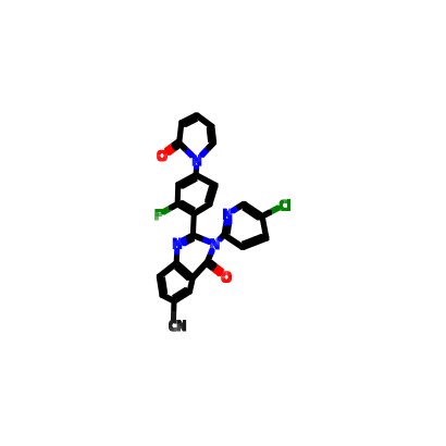 N#Cc1ccc2nc(-c3ccc(-n4ccccc4=O)cc3F)n(-c3ccc(Cl)cn3)c(=O)c2c1